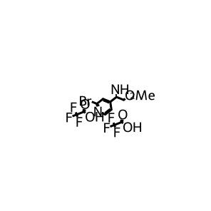 COC[C@H](N)c1ccnc(Br)c1.O=C(O)C(F)(F)F.O=C(O)C(F)(F)F